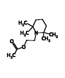 CC(=O)OCCN1C(C)(C)CCCC1(C)C